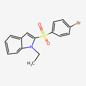 CCn1c(S(=O)(=O)c2ccc(Br)cc2)cc2ccccc21